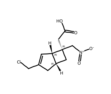 O=C(O)C[C@]1(C[N+](=O)[O-])C[C@@H]2CC(CCl)=C[C@@H]21